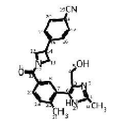 Cc1nc(CO)c(-c2cc(C(=O)N3CC(c4ccc(C#N)cc4)C3)ccc2C)[nH]1